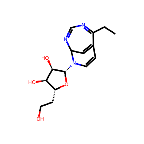 CCC1=NC=NC2C=C1C=CN2[C@@H]1O[C@H](CCO)[C@@H](O)[C@H]1O